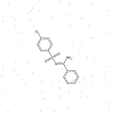 NC(=NS(=O)(=O)c1ccc(Cl)cc1)c1ccccc1